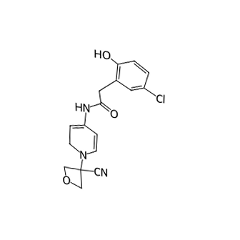 N#CC1(N2C=CC(NC(=O)Cc3cc(Cl)ccc3O)=CC2)COC1